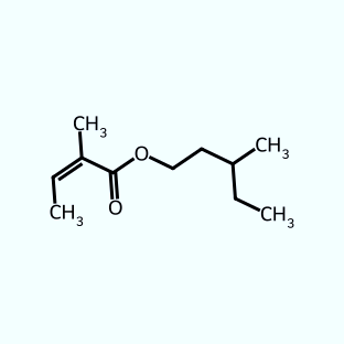 C/C=C(/C)C(=O)OCCC(C)CC